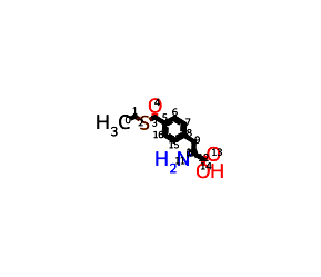 CCSC(=O)c1ccc(C[C@H](N)C(=O)O)cc1